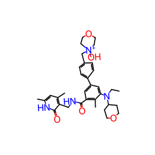 CCN(c1cc(-c2ccc(C[N+]3(O)CCOCC3)cc2)cc(C(=O)NCc2c(C)cc(C)[nH]c2=O)c1C)C1CCOCC1